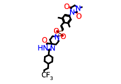 Cc1cc(N2C(=O)CN(C)C2=O)cc(C)c1C=CS(=O)(=O)N1CCC2(CC1)N=C(C1CCC(CCC(F)(F)F)CC1)NC2=O